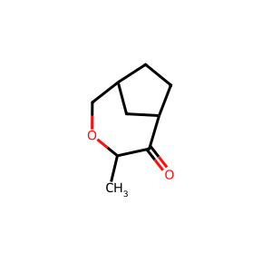 CC1OCC2CCC(C2)C1=O